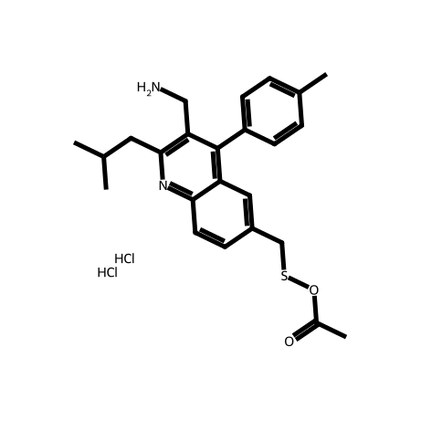 CC(=O)OSCc1ccc2nc(CC(C)C)c(CN)c(-c3ccc(C)cc3)c2c1.Cl.Cl